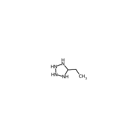 CCC1NNNN1